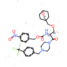 C[C@@H](OCC12CCC(CC1)OC2)[C@H](NC(=O)OCc1ccc([N+](=O)[O-])cc1)C(=O)N1CCN(Cc2ccc(C(F)(F)F)cc2)CC1